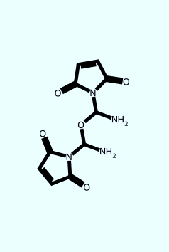 NC(OC(N)N1C(=O)C=CC1=O)N1C(=O)C=CC1=O